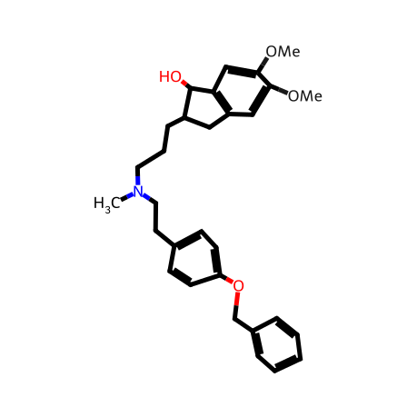 COc1cc2c(cc1OC)C(O)C(CCCN(C)CCc1ccc(OCc3ccccc3)cc1)C2